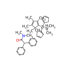 CC1=C(C)C(C)(C)[C]([Zr]([C]2=CC=CC2)([C]2=CC=CC2)[SiH](C)C)=C1C.CN(C)C(=O)C(c1ccccc1)c1ccccc1